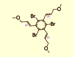 COC/C=C/c1c(Br)c(/C=C/COC)c(Br)c(/C=C/COC)c1Br